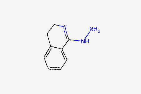 NNC1=NCCc2ccccc21